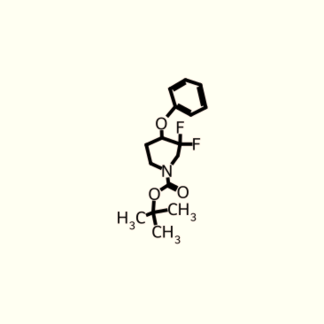 CC(C)(C)OC(=O)N1CCC(Oc2ccccc2)C(F)(F)C1